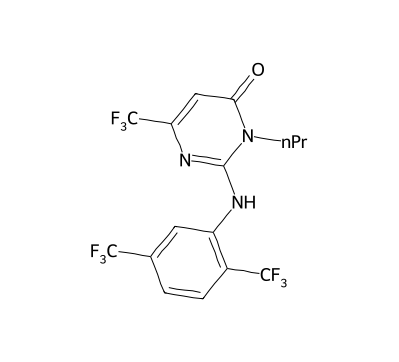 CCCn1c(Nc2cc(C(F)(F)F)ccc2C(F)(F)F)nc(C(F)(F)F)cc1=O